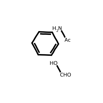 CC(N)=O.O=CO.c1ccccc1